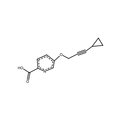 O=C(O)c1ccc(OCC#CC2CC2)cn1